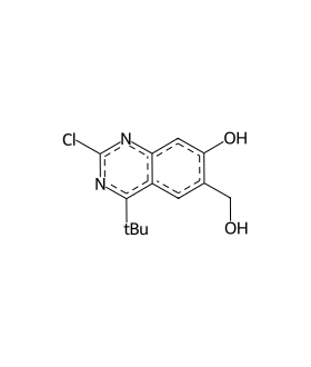 CC(C)(C)c1nc(Cl)nc2cc(O)c(CO)cc12